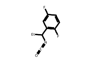 CCC(N=C=O)c1cc(F)ccc1F